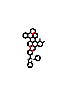 CC1CC=C(c2ccccc2)C(c2c3ccccc3c(-c3ccccc3-c3ccccc3)c3ccc(-c4ccc(-c5nc6ccccc6n5-c5ccccc5)cc4)cc23)C1C